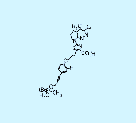 Cc1c(Cl)nnc2c1CCCN2c1nc(C(=O)O)c(CCCOc2ccc(C#CCO[Si](C)(C)C(C)(C)C)cc2F)s1